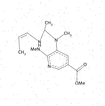 C/C=C\NC(C)N(C)c1cc(C(=O)OC)cnc1NC